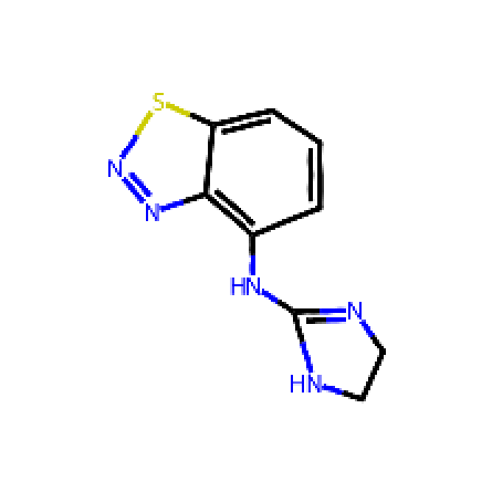 c1cc(NC2=NCCN2)c2nnsc2c1